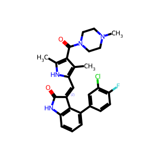 Cc1[nH]c(/C=C2\C(=O)Nc3cccc(-c4ccc(F)c(Cl)c4)c32)c(C)c1C(=O)N1CCN(C)CC1